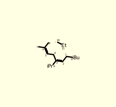 CCC(C)C/C=C(\CC=C(C)C)C(C)C.[CH2]CC